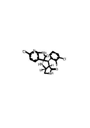 O=C1NC[C@@H]2N[C@]3(C(=O)Nc4nc(Cl)ccc43)[C@@H](c3cccc(Cl)c3F)[C@H]12